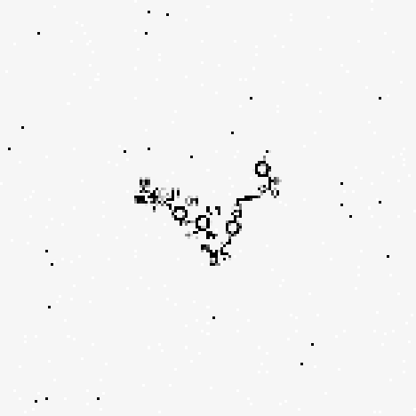 CC(Cl)(Cl)C(=O)O.CCN(CC)C(=O)SCc1ccc(Cl)cc1.N#Cc1cc(Br)c(O)c(Br)c1.N#Cc1ccccc1.NC(=O)O.NC(=O)S.O=C(Nc1cccc(Cl)c1)OCC#CCCl